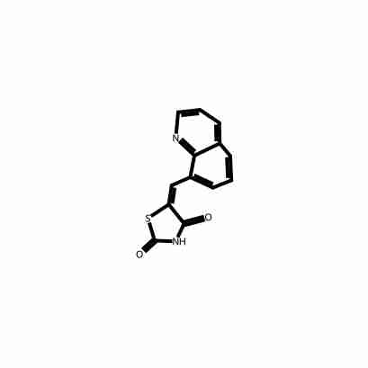 O=C1NC(=O)C(=Cc2cccc3cccnc23)S1